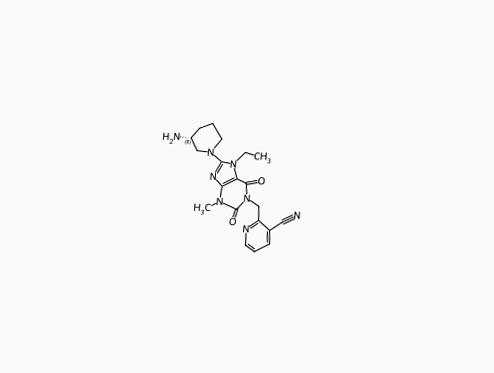 CCn1c(N2CCC[C@@H](N)C2)nc2c1c(=O)n(Cc1ncccc1C#N)c(=O)n2C